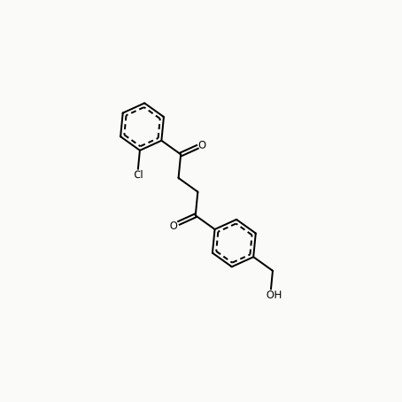 O=C(CCC(=O)c1ccccc1Cl)c1ccc(CO)cc1